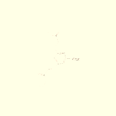 C#Cc1cc(OCC(=O)OCCCC)cc(OCC(=O)OCCCC)c1